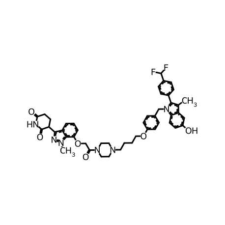 Cc1c(-c2ccc(C(F)F)cc2)n(Cc2ccc(OCCCCN3CCN(C(=O)COc4cccc5c(C6CCC(=O)NC6=O)nn(C)c45)CC3)cc2)c2ccc(O)cc12